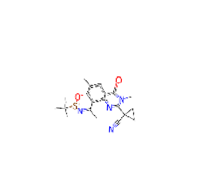 C/C(=N/[S@+]([O-])C(C)(C)C)c1cc(C)cc2c(=O)n(C)c(C3(C#N)CC3)nc12